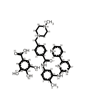 Cc1ccc(NC(=O)c2ccc(CN3CCN(C)CC3)cc2)cc1Nc1nccc(-c2cccnc2)n1.O=C(O)c1cc(O)c(O)c(O)c1